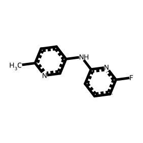 Cc1ccc(Nc2cc[c]c(F)n2)cn1